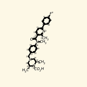 Cc1nc(-c2ccc(F)cc2)ccc1C(=O)N(C)c1ccc(CN2C[C@@H](C)N(C(=O)O)[C@@H](C)C2)cc1